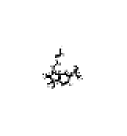 CCSCCN1C(=O)C(C)(C)c2ccc([N+](=O)[O-])cc21